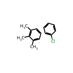 Cc1cccc(C)c1C.Clc1ccccc1